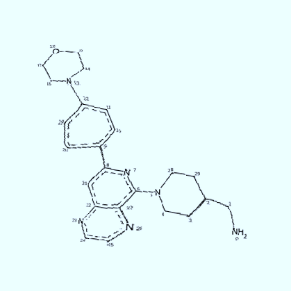 NCC1CCN(c2nc(-c3ccc(N4CCOCC4)cc3)cc3nccnc23)CC1